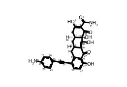 NC(=O)C1=C(O)C[C@@H]2C[C@@H]3Cc4c(C#Cc5ccc(N)cc5)ccc(O)c4C(=O)C3=C(O)[C@]2(O)C1=O